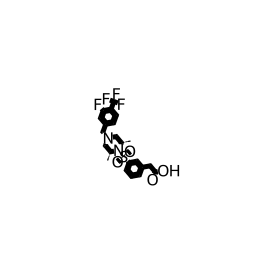 C[C@@H]1CN(Cc2ccc(C(F)(F)F)c(F)c2)C[C@H](C)N1S(=O)(=O)c1cccc(CC(=O)O)c1